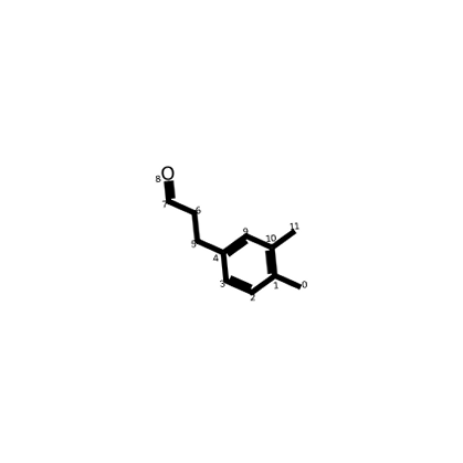 Cc1ccc(CCC=O)cc1C